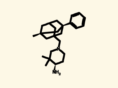 CC1(C)CN(CC23CC4C[C@@](C)(C2)C[C@](c2ccccc2)(C4)C3)CC[C@@H]1N